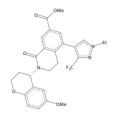 CCn1cc(-c2cc(C(=O)OC)cc3c2CCN([C@H]2CCOc4ccc(OC)cc42)C3=O)c(C(F)(F)F)n1